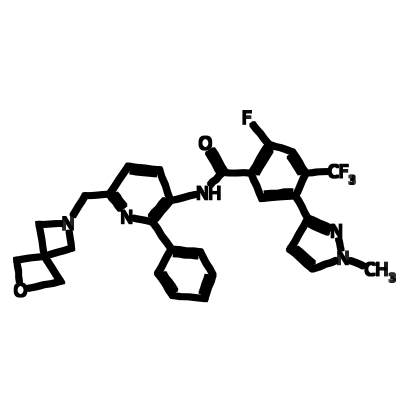 Cn1ccc(-c2cc(C(=O)Nc3ccc(CN4CC5(COC5)C4)nc3-c3ccccc3)c(F)cc2C(F)(F)F)n1